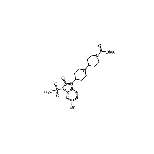 COC(=O)N1CCC(N2CCC(n3c(=O)n(S(C)(=O)=O)c4cc(Br)ccc43)CC2)CC1